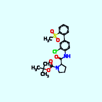 CC(C)(C)OC(=O)N1CCCC1C(=O)Nc1ccc(-c2ccccc2S(C)(=O)=O)cc1Cl